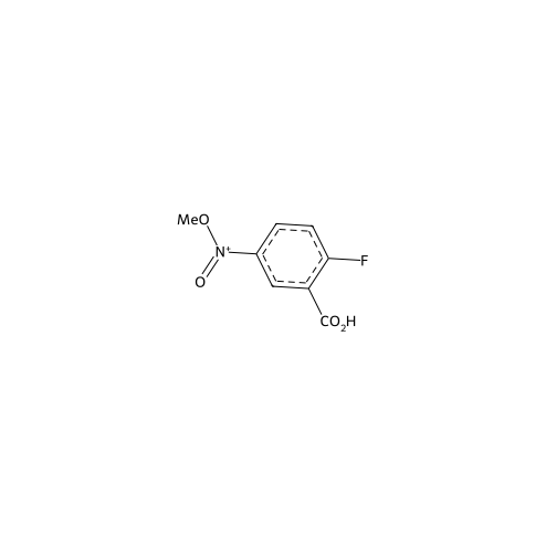 CO[N+](=O)c1ccc(F)c(C(=O)O)c1